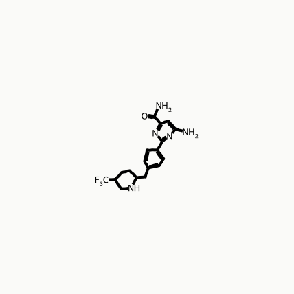 NC(=O)c1cc(N)nc(-c2ccc(CC3CCC(C(F)(F)F)CN3)cc2)n1